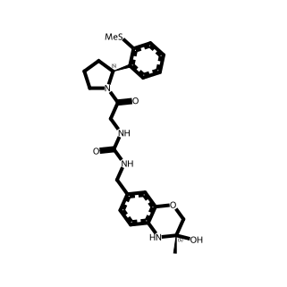 CSc1ccccc1[C@@H]1CCCN1C(=O)CNC(=O)NCc1ccc2c(c1)OC[C@](C)(O)N2